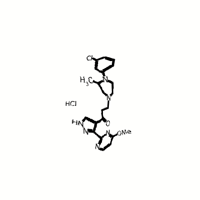 COc1ccnc(-c2n[nH]cc2C(=O)CCN2CCN(c3cccc(Cl)c3)C(C)C2)n1.Cl